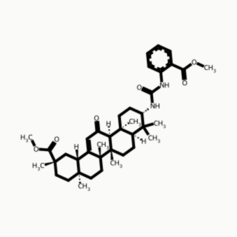 COC(=O)c1ccccc1NC(=O)N[C@H]1CC[C@@]2(C)[C@H](CC[C@@]3(C)[C@H]2C(=O)C=C2[C@H]4C[C@@](C)(C(=O)OC)CC[C@]4(C)CC[C@]23C)C1(C)C